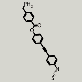 O=C(Oc1ccc(C#Cc2ccc(N=C=S)cc2)cc1)c1ccc(CP)cc1